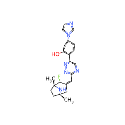 C[C@@]12CC[C@@](C)(N1)[C@@H](F)/C(=C\c1ncc(-c3ccc(-n4ccnc4)cc3O)nn1)C2